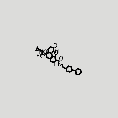 CCN(CC1CC1)[C@@H]1Cc2ccc(C(=O)NCCc3ccc(-c4ccccc4)cc3)c3c2C2[C@@H](O3)C(=O)CC[C@]21O